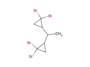 CC(C1CC1(Br)Br)C1CC1(Br)Br